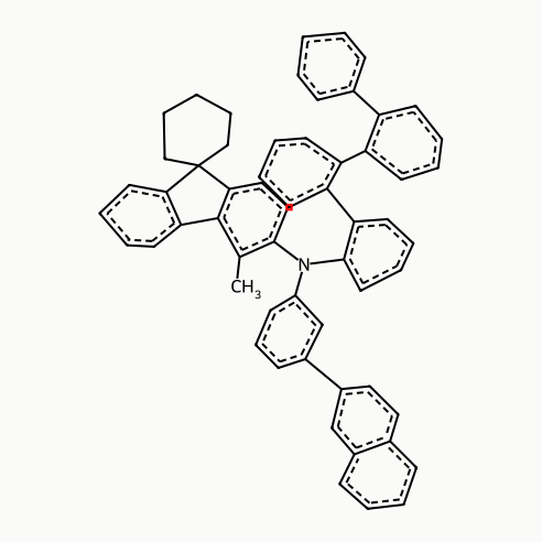 Cc1c(N(c2cccc(-c3ccc4ccccc4c3)c2)c2ccccc2-c2ccccc2-c2ccccc2-c2ccccc2)ccc2c1-c1ccccc1C21CCCCC1